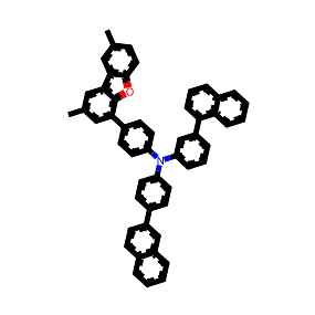 Cc1ccc2oc3c(-c4ccc(N(c5ccc(-c6ccc7ccccc7c6)cc5)c5cccc(-c6cccc7ccccc67)c5)cc4)cc(C)cc3c2c1